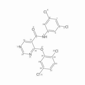 O=C(Nc1cc(Cl)cc(Cl)c1)c1cncnc1Oc1cc(Cl)ccc1Cl